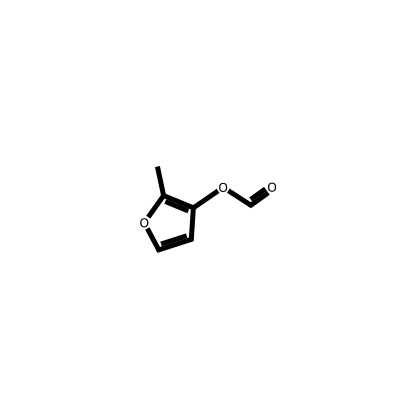 Cc1occc1OC=O